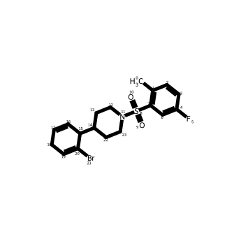 Cc1ccc(F)cc1S(=O)(=O)N1CCC(C2C=CCC=C2Br)CC1